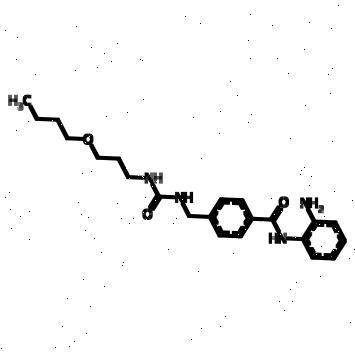 CCCCOCCCNC(=O)NCc1ccc(C(=O)Nc2ccccc2N)cc1